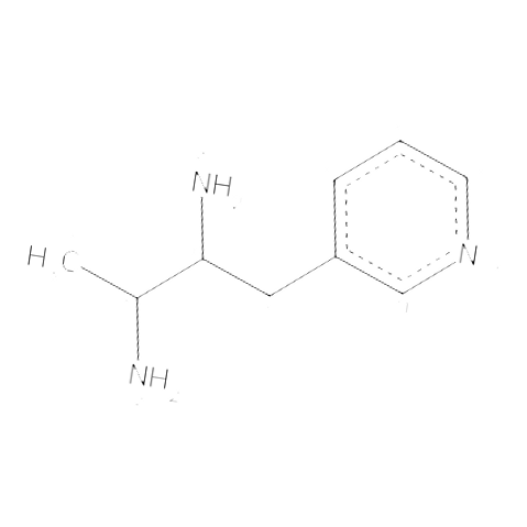 CC(N)C(N)Cc1cccnc1